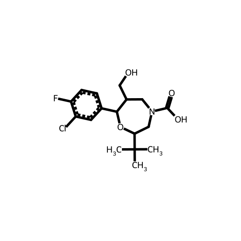 CC(C)(C)C1CN(C(=O)O)CC(CO)C(c2ccc(F)c(Cl)c2)O1